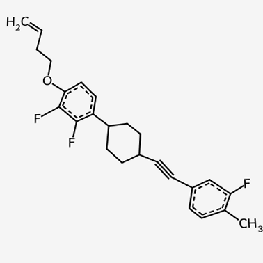 C=CCCOc1ccc(C2CCC(C#Cc3ccc(C)c(F)c3)CC2)c(F)c1F